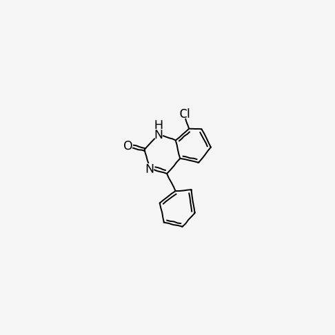 O=c1nc(-c2ccccc2)c2cccc(Cl)c2[nH]1